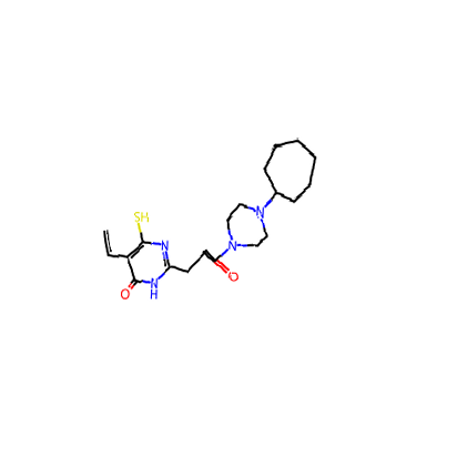 C=Cc1c(S)nc(CCC(=O)N2CCN(C3CCCCCC3)CC2)[nH]c1=O